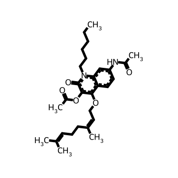 CCCCCCn1c(=O)c(OC(C)=O)c(OCC=C(C)CCC=C(C)C)c2ccc(NC(C)=O)cc21